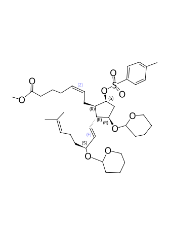 COC(=O)CCC/C=C\C[C@@H]1[C@@H](/C=C/[C@H](CCC=C(C)C)OC2CCCCO2)[C@H](OC2CCCCO2)C[C@@H]1OS(=O)(=O)c1ccc(C)cc1